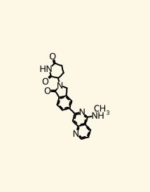 CNc1nc(-c2ccc3c(c2)CN(C2CCC(=O)NC2=O)C3=O)cc2ncccc12